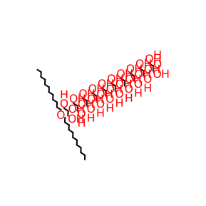 CCCCCCCCCCCCOCCCCCCCCCCCC.OCC(O)CO.OCC(O)CO.OCC(O)CO.OCC(O)CO.OCC(O)CO.OCC(O)CO.OCC(O)CO.OCC(O)CO.OCC(O)CO.OCC(O)CO